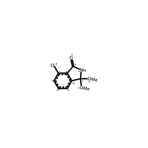 COC1(OC)NC(=O)c2c(Cl)cccc21